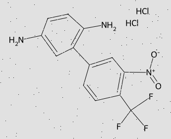 Cl.Cl.Nc1ccc(N)c(-c2ccc(C(F)(F)F)c([N+](=O)[O-])c2)c1